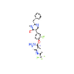 C=C(/N=C(C)\C(C)=C(/N)Oc1ccc(-c2cnc(Cc3ccccc3)n(C)c2=O)cc1F)C(F)(F)F